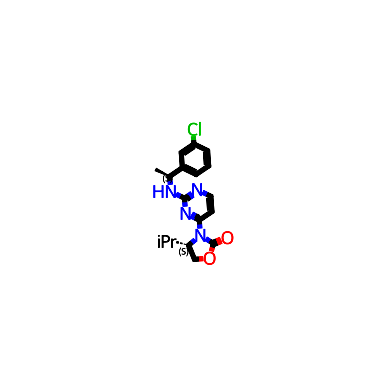 CC(C)[C@H]1COC(=O)N1c1ccnc(N[C@@H](C)c2cccc(Cl)c2)n1